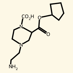 NCCN1CCN(C(=O)O)C(C(=O)OC2CCCC2)C1